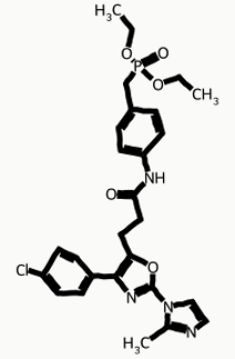 CCOP(=O)(Cc1ccc(NC(=O)CCc2oc(-n3ccnc3C)nc2-c2ccc(Cl)cc2)cc1)OCC